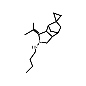 CCCCNN1CC2C3CC(C2C1=C(C)C)C1(CC1)C3